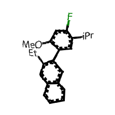 CCc1cc2ccccc2cc1-c1cc(C(C)C)c(F)cc1OC